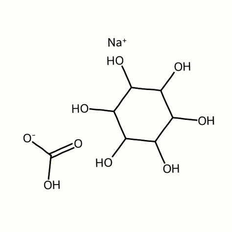 O=C([O-])O.OC1C(O)C(O)C(O)C(O)C1O.[Na+]